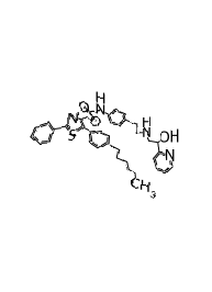 CCCCCCc1ccc(-c2sc(-c3ccccc3)nc2S(=O)(=O)Nc2ccc(CCNCC(O)c3ccccn3)cc2)cc1